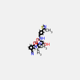 Cc1ncsc1-c1ccc(CNC(=O)[C@@H]2C[C@@H](O)CN2C(=O)C(C(C)C)N2Cc3c(C#N)cccc3C2=O)cc1